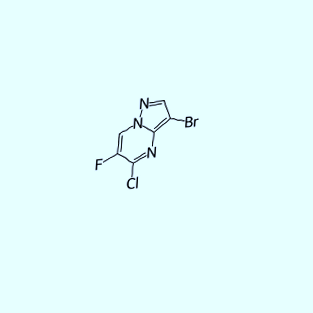 Fc1cn2ncc(Br)c2nc1Cl